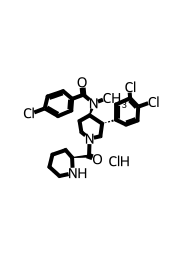 CN(C(=O)c1ccc(Cl)cc1)[C@@H]1CCN(C(=O)[C@@H]2CCCCN2)C[C@H]1c1ccc(Cl)c(Cl)c1.Cl